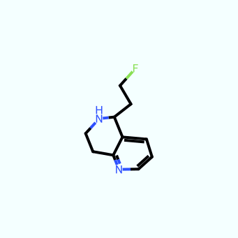 FCCC1NCCc2ncccc21